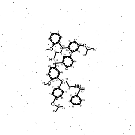 COc1ccccc1[C@H](CCN[C@@H](c1ccccc1)c1ccc(OC)c([C@H](CCN[C@@H](C)c2ccccc2)c2ccc(OC(C)C)cc2)c1)c1ccc(OC(C)C)cc1